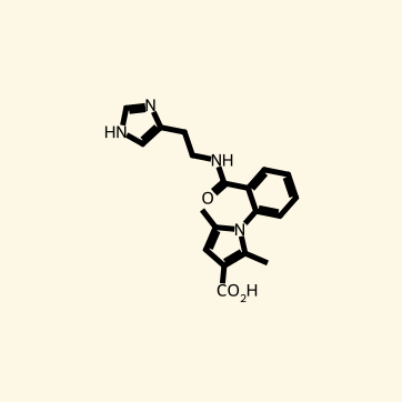 Cc1cc(C(=O)O)c(C)n1-c1ccccc1C(=O)NCCc1c[nH]cn1